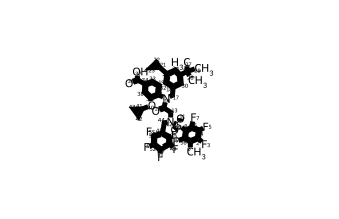 Cc1c(F)c(F)c(F)c(S(=O)(=O)N(CC(=O)N(Cc2cc(C3CC3)cc(C(C)(C)C)c2)c2ccc(C(=O)O)cc2OC2CC2)Cc2c(F)c(F)c(F)c(F)c2F)c1F